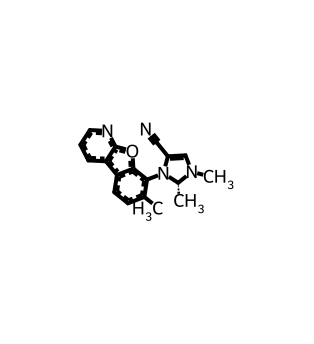 Cc1ccc2c(oc3ncccc32)c1N1C(C#N)=CN(C)[C@@H]1C